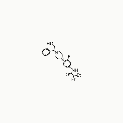 CCC(CC)C(=O)Nc1ccc(N2CCN(C(CO)c3ccccc3)CC2)c(F)c1